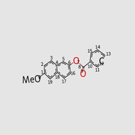 COc1ccc2cc(OC(=O)c3ccccc3)ccc2c1